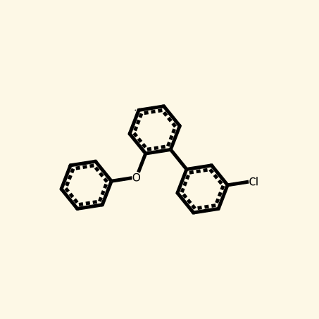 Clc1cccc(-c2cc[c]cc2Oc2ccccc2)c1